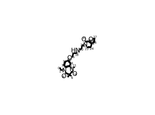 CCN1C(=O)C(C)(C)C(=O)N(C)c2cc(OCCCNCCn3ccc4ccoc4c3=O)ccc21